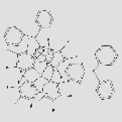 FC1=C(F)C(F)C([S-](c2ccc([S+](c3ccccc3)c3ccccc3)cc2)c2ccc([S+](c3ccccc3)c3ccccc3)cc2)([B-](c2c(F)c(F)c(F)c(F)c2F)(c2c(F)c(F)c(F)c(F)c2F)c2c(F)c(F)c(F)c(F)c2F)C(F)=C1F